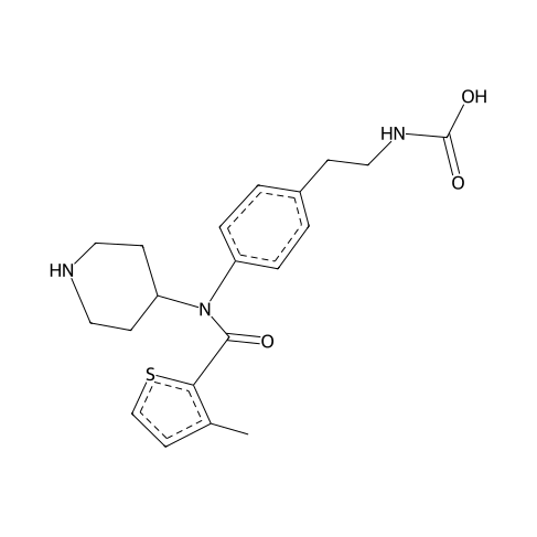 Cc1ccsc1C(=O)N(c1ccc(CCNC(=O)O)cc1)C1CCNCC1